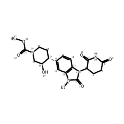 CCn1c(=O)n(C2CCC(=O)NC2=O)c2ccc([C@H]3CCN(C(=O)OC(C)(C)C)C[C@@H]3O)cc21